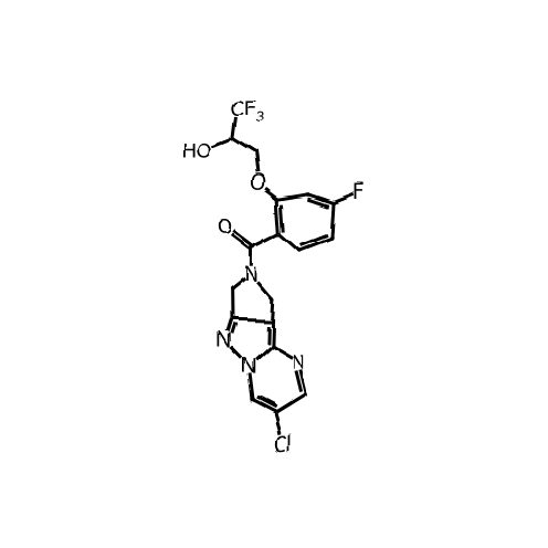 O=C(c1ccc(F)cc1OCC(O)C(F)(F)F)N1Cc2nn3cc(Cl)cnc3c2C1